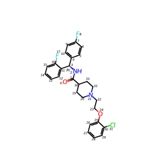 O=C(N[C@H](c1ccc(F)cc1)c1ccccc1F)C1CCN(CCOc2ccccc2Cl)CC1